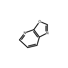 [c]1ccnc2ocnc12